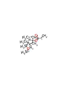 C=CC(=O)OC(C)(C)C(C)C(C)(C)[SiH2]O[SiH3]